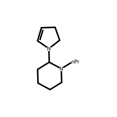 CCCN1CCCCC1N1C=CCC1